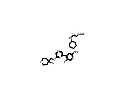 COC[C@@H](C)N[C@H]1CC[C@H](Nc2cc(-c3cncc(OCC4(C#N)CCOCC4)n3)c(F)cn2)CC1